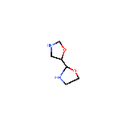 C1COC(C2CNCO2)N1